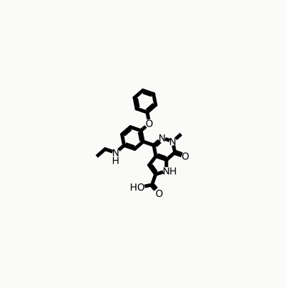 CCNc1ccc(Oc2ccccc2)c(-c2nn(C)c(=O)c3[nH]c(C(=O)O)cc23)c1